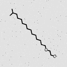 CC(C)CCCCCCCCCCCCCOCC[O]